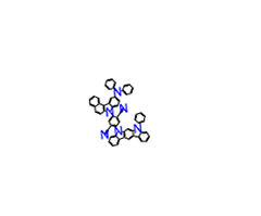 N#Cc1cc(-n2c3ccc(N(c4ccccc4)c4ccccc4)cc3c3c4ccccc4ccc32)c(C#N)cc1-n1c2ccccc2c2cc3c4ccccc4n(-c4ccccc4)c3cc21